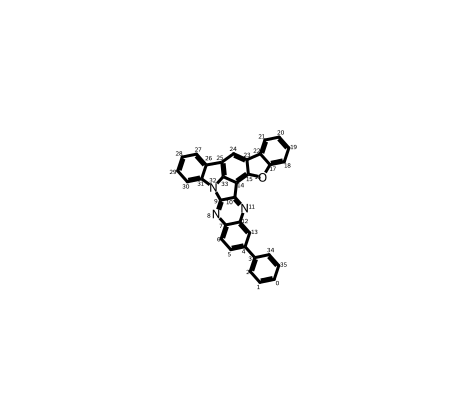 c1ccc(-c2ccc3nc4c(nc3c2)c2c3oc5ccccc5c3cc3c5ccccc5n4c32)cc1